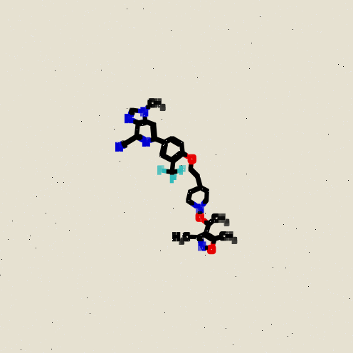 Cc1noc(C)c1C(C)ON1CCC(CCOc2ccc(-c3cc4c(ncn4C)c(C#N)n3)cc2C(F)(F)F)CC1